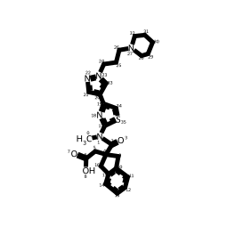 CN(C(=O)C1(CC(=O)O)Cc2ccccc2C1)c1nc(-c2cnn(CCCN3CCCCC3)c2)cs1